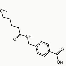 CCCCCC(=O)NCc1ccc(C(=O)O)cc1